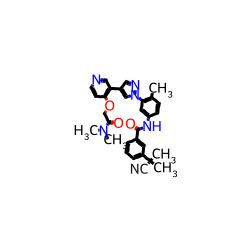 Cc1ccc(NC(=O)c2cccc(C(C)(C)C#N)c2)cc1-n1cc(-c2cnccc2OCC(=O)N(C)C)cn1